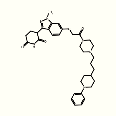 Cn1nc(C2CCC(=O)NC2=O)c2ccc(OCC(=O)N3CCN(CCCC4CCN(c5ccccc5)CC4)CC3)cc21